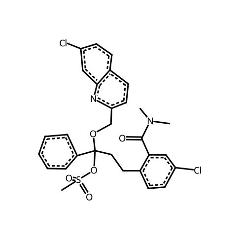 CN(C)C(=O)c1cc(Cl)ccc1CCC(OCc1ccc2ccc(Cl)cc2n1)(OS(C)(=O)=O)c1ccccc1